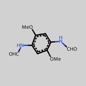 COc1cc(NC=O)c(OC)cc1NC=O